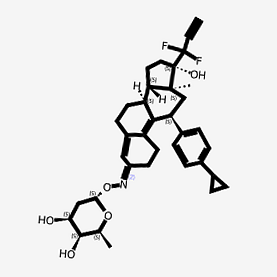 C#CC(F)(F)[C@]1(O)CC[C@H]2[C@@H]3CCC4=C/C(=N\O[C@H]5C[C@H](O)[C@H](O)[C@H](C)O5)CCC4=C3[C@H](c3ccc(C4CC4)cc3)C[C@@]21C